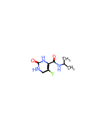 CC(C)NC(=O)C1=C(F)CNC(=O)N1